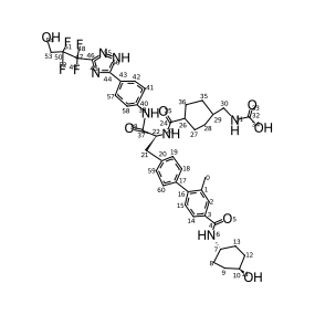 Cc1cc(C(=O)N[C@H]2CC[C@H](O)CC2)ccc1-c1ccc(C[C@H](NC(=O)C2CCC(CNC(=O)O)CC2)C(=O)Nc2ccc(-c3nc(C(F)(F)C(F)(F)CO)n[nH]3)cc2)cc1